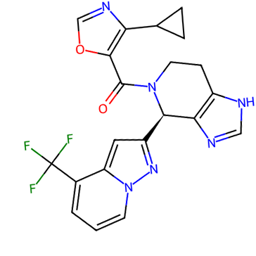 O=C(c1ocnc1C1CC1)N1CCc2[nH]cnc2[C@H]1c1cc2c(C(F)(F)F)cccn2n1